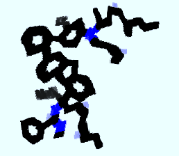 C=C/C=C\C=C/CC(/N=C(\N=C)c1ccccc1)(NC)c1cccc2c1-c1ccc(-c3ccccc3-c3ccc(N(C/C=C\C)C(C)C/C=C\C(=C)CC=C)cc3CC)cc1C2